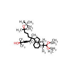 C[SiH2]OC(O[SiH2]C)C(C)(C)[C@H]1CCC[C@]2(C)[C@@H]1CC[C@@H]2[C@@](C)(CC#CC(O)(C(F)(F)F)C(F)(F)F)CCCC(C)(C)O[Si](C)(C)C